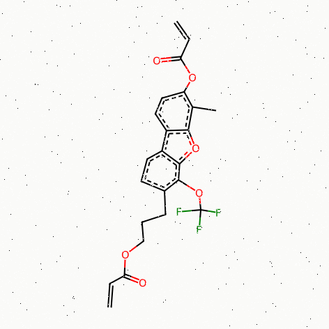 C=CC(=O)OCCCc1ccc2c(oc3c(C)c(OC(=O)C=C)ccc32)c1OC(F)(F)F